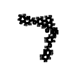 O=c1c(-c2nnn(Cc3cccc(OCc4ccc5ccccc5n4)c3)n2)cc2ccccc2n1Cc1cccc(OCc2ccc3ccccc3n2)c1